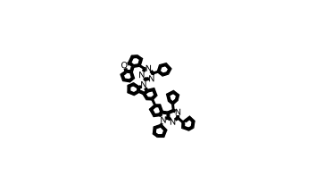 c1ccc(-c2nc(-c3cccc4oc5ccccc5c34)nc(-n3c4ccccc4c4cc(-c5ccc6c(c5)c5c(-c7ccccc7)nc(-c7ccccc7)nc5n6-c5ccccc5)ccc43)n2)cc1